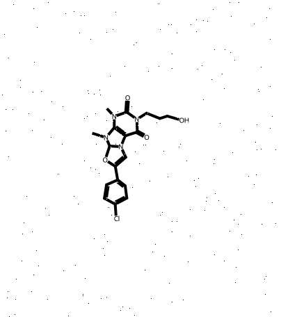 CN1c2c(c(=O)n(CCCO)c(=O)n2C)N2C=C(c3ccc(Cl)cc3)OC12